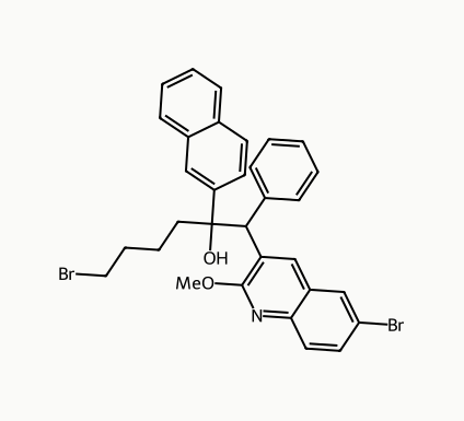 COc1nc2ccc(Br)cc2cc1C(c1ccccc1)C(O)(CCCCBr)c1ccc2ccccc2c1